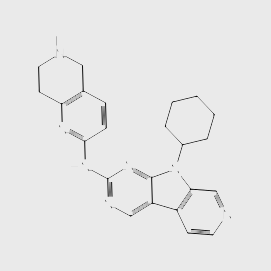 c1cc2c3cnc(Nc4ccc5c(n4)CCNC5)nc3n(C3CCCCC3)c2cn1